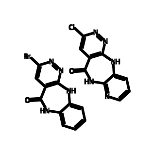 O=C1Nc2ccccc2Nc2nnc(Br)cc21.O=C1Nc2ncccc2Nc2nnc(Cl)cc21